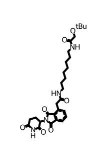 CC(C)(C)OCC(=O)NCCCCCCCCNC(=O)Cc1cccc2c1C(=O)N(C1CCC(=O)NC1=O)C2=O